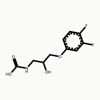 O=C(O)NCC(O)COc1ccc(F)c(F)c1